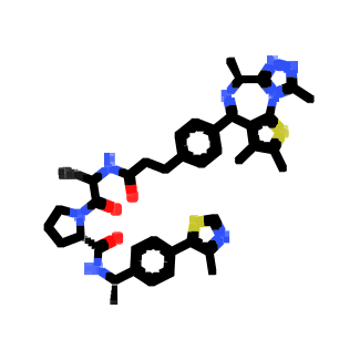 Cc1ncsc1-c1ccc([C@H](C)NC(=O)[C@@H]2CCCN2C(=O)C(NC(=O)CCc2ccc(C3=N[C@@H](C)c4nnc(C)n4-c4sc(C)c(C)c43)cc2)C(C)(C)C)cc1